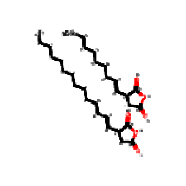 CC(C)CCCCCCCCCCCC=CC1CC(=O)OC1=O.CCCCCCCCCCCCCCCCC=CC1CC(=O)OC1=O